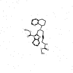 CC(C)(C)OC(=O)NCC#CCN(Cc1nc2ccccc2n1C(=O)OC(C)(C)C)C1CCCc2cccnc21